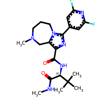 CNC(=O)[C@@H](NC(=O)c1nc(-c2cc(F)nc(F)c2)n2c1CN(C)CCC2)C(C)(C)C